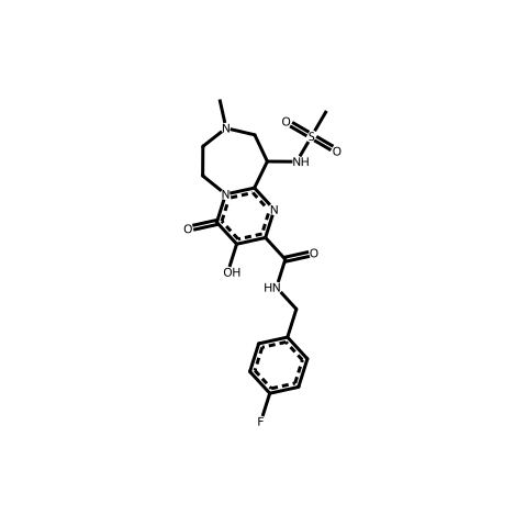 CN1CCn2c(nc(C(=O)NCc3ccc(F)cc3)c(O)c2=O)C(NS(C)(=O)=O)C1